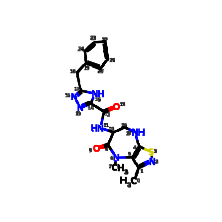 Cc1nsc2c1N(C)C(=O)C(NC(=O)c1nnc(Cc3ccccc3)[nH]1)CN2